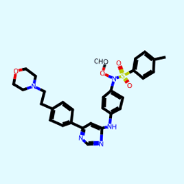 Cc1ccc(S(=O)(=O)N(OC=O)c2ccc(Nc3cc(-c4ccc(CCN5CCOCC5)cc4)ncn3)cc2)cc1